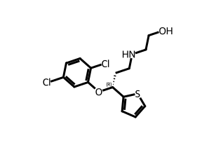 OCCNCC[C@@H](Oc1cc(Cl)ccc1Cl)c1cccs1